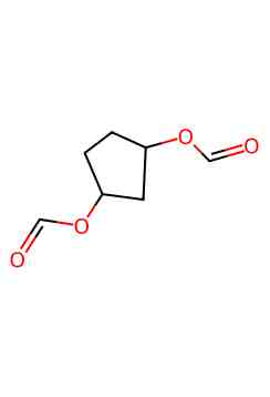 O=COC1CCC(OC=O)C1